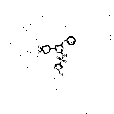 Cn1cc(S(=O)(=O)Nc2nc(Oc3ccccc3)cc(C3CCC(F)(F)CC3)n2)cn1